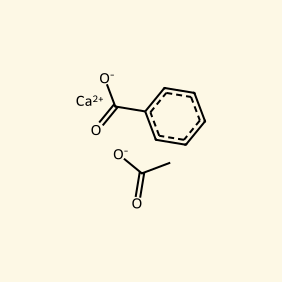 CC(=O)[O-].O=C([O-])c1ccccc1.[Ca+2]